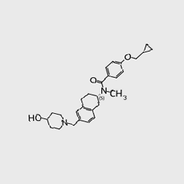 CN(C(=O)c1ccc(OCC2CC2)cc1)[C@H]1CCc2cc(CN3CCC(O)CC3)ccc2C1